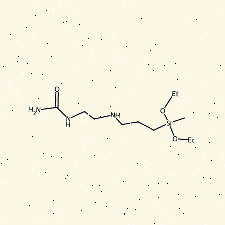 CCO[Si](C)(CCCNCCNC(N)=O)OCC